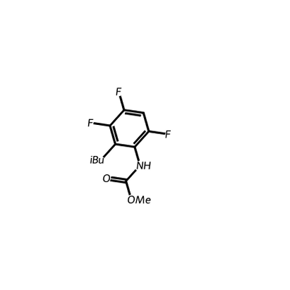 CCC(C)c1c(F)c(F)cc(F)c1NC(=O)OC